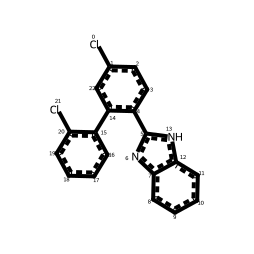 Clc1ccc(-c2nc3ccccc3[nH]2)c(-c2ccccc2Cl)c1